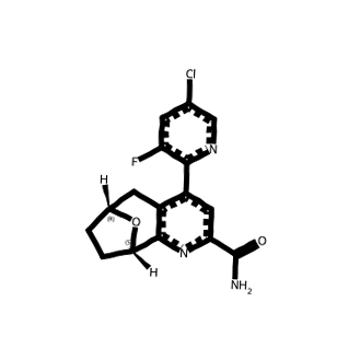 NC(=O)c1cc(-c2ncc(Cl)cc2F)c2c(n1)[C@@H]1CC[C@H](C2)O1